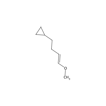 COC=CCCC1[CH]C1